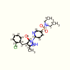 CCN(CC)S(=O)(=O)c1ccc(-n2[nH]c(C)c(Cc3ccccc3Cl)c2=O)nc1